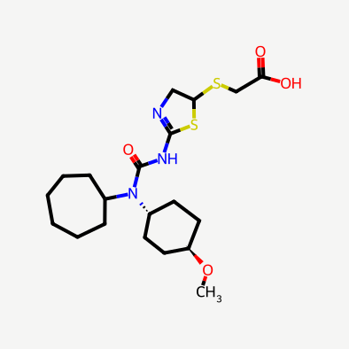 CO[C@H]1CC[C@H](N(C(=O)NC2=NCC(SCC(=O)O)S2)C2CCCCCC2)CC1